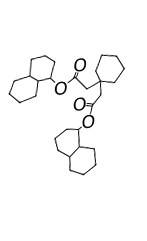 O=C(CC1(CC(=O)OC2CCCC3CCCCC32)CCCCC1)OC1CCCC2CCCCC21